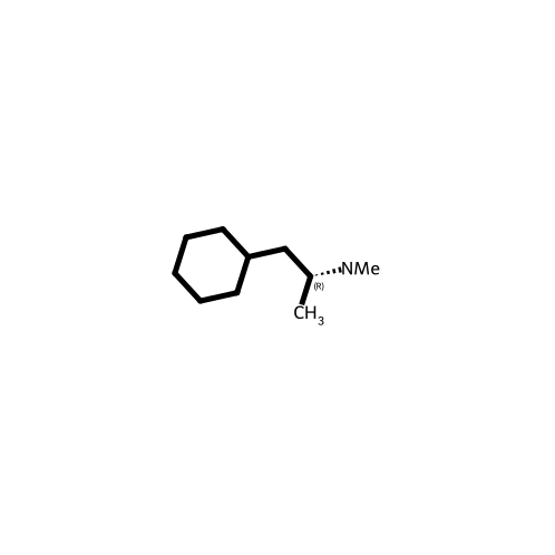 CN[C@H](C)CC1CCCCC1